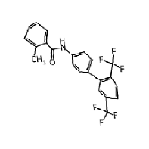 Cc1ccccc1C(=O)Nc1ccc(-c2cc(C(F)(F)F)ccc2C(F)(F)F)cc1